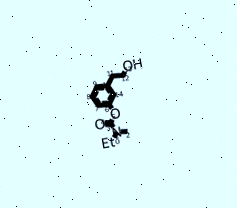 CCN(C)C(=O)Oc1cccc(CCO)c1